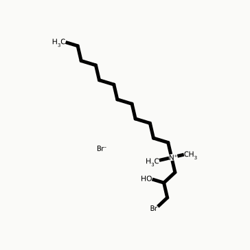 CCCCCCCCCCCC[N+](C)(C)CC(O)CBr.[Br-]